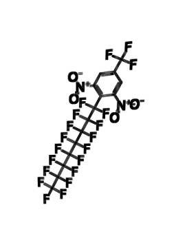 O=[N+]([O-])c1cc(C(F)(F)F)cc([N+](=O)[O-])c1C(F)(F)C(F)(F)C(F)(F)C(F)(F)C(F)(F)C(F)(F)C(F)(F)C(F)(F)F